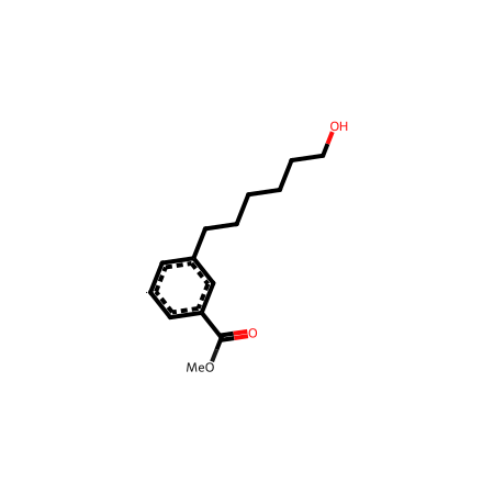 COC(=O)c1c[c]cc(CCCCCCO)c1